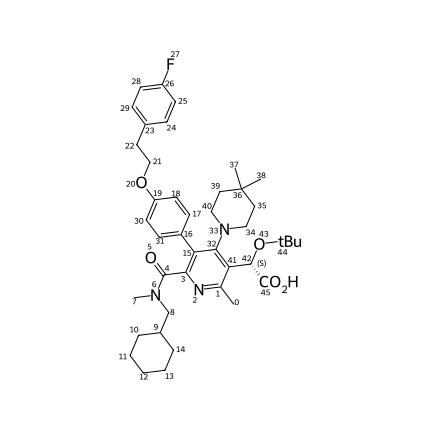 Cc1nc(C(=O)N(C)CC2CCCCC2)c(-c2ccc(OCCc3ccc(F)cc3)cc2)c(N2CCC(C)(C)CC2)c1[C@H](OC(C)(C)C)C(=O)O